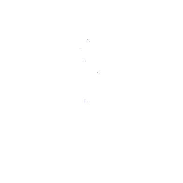 Cc1c(NCCNCC(O)c2cccc(O)c2)n(C)c(=O)n(C)c1=O